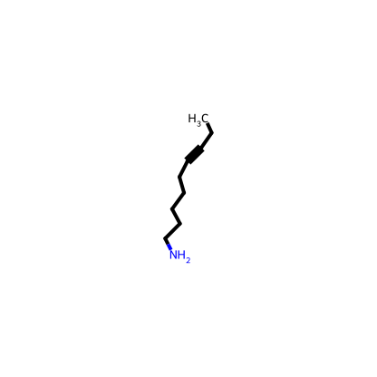 CCC#CCCCCCN